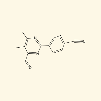 Cc1nc(-c2ccc(C#N)cc2)nc(C=O)c1C